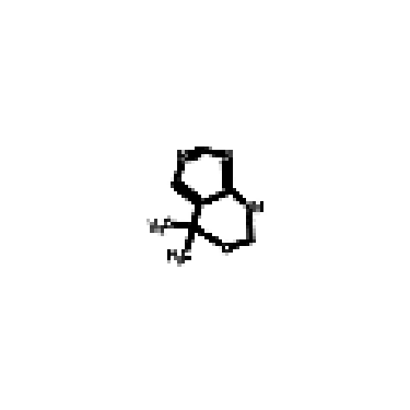 CC1(C)OCNc2ncncc21